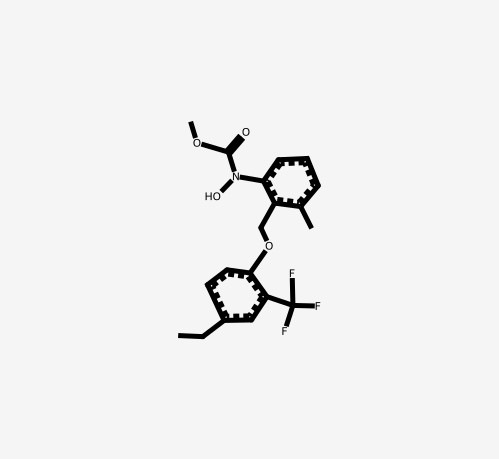 CCc1ccc(OCc2c(C)cccc2N(O)C(=O)OC)c(C(F)(F)F)c1